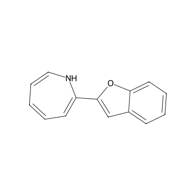 C1=CC=C(c2cc3ccccc3o2)NC=C1